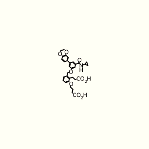 O=C(O)CCCOc1cccc(COc2cc(C(=O)NC3CC3)cc(-c3ccc4c(c3)OCCO4)c2)c1CCC(=O)O